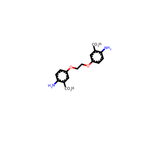 Nc1ccc(OCCOc2ccc(N)c(C(=O)O)c2)cc1C(=O)O